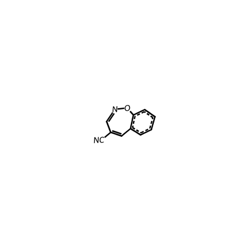 N#CC1=Cc2ccccc2ON=C1